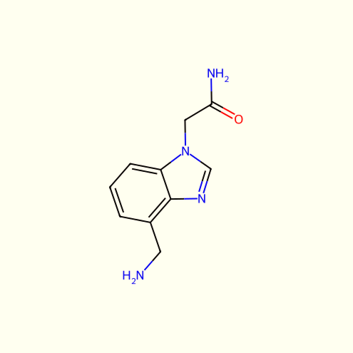 NCc1cccc2c1ncn2CC(N)=O